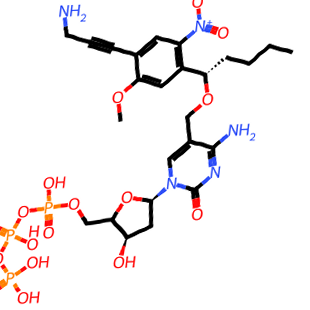 CCCC[C@H](OCc1cn([C@H]2C[C@@H](O)C(COP(=O)(O)OP(=O)(O)OP(=O)(O)O)O2)c(=O)nc1N)c1cc(OC)c(C#CCN)cc1[N+](=O)[O-]